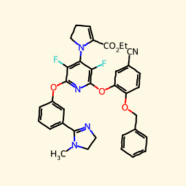 CCOC(=O)C1=CCCN1c1c(F)c(Oc2cccc(C3=NCCN3C)c2)nc(Oc2cc(C#N)ccc2OCc2ccccc2)c1F